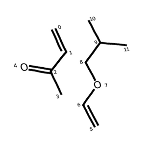 C=CC(C)=O.C=COCC(C)C